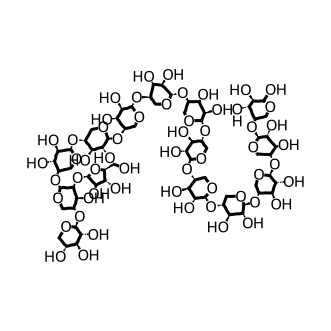 OC[C@@H]1O[C@@H](O[C@H]2[C@H](O[C@@H]3CO[C@@H](O[C@@H]4CO[C@@H](O[C@@H]5CO[C@@H](O[C@@H]6CO[C@@H](O[C@@H]7CO[C@@H](O[C@@H]8CO[C@@H](O[C@@H]9CO[C@@H](O[C@@H]%10CO[C@@H](O[C@@H]%11CO[C@@H](O[C@@H]%12CO[C@@H](O[C@@H]%13COC(O)[C@H](O)[C@H]%13O)[C@H](O)[C@H]%12O)[C@H](O)[C@H]%11O)[C@H](O)[C@H]%10O)[C@H](O)[C@H]9O)[C@H](O)[C@H]8O)[C@H](O)[C@H]7O)[C@H](O)[C@H]6O)[C@H](O)[C@H]5O)[C@H](O)[C@H]4O)[C@H](O)[C@H]3O)OC[C@@H](O[C@@H]3OC[C@@H](O)[C@H](O)[C@H]3O)[C@@H]2O)[C@H](O)[C@H]1O